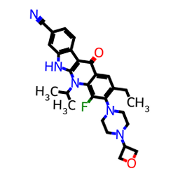 CCc1cc2c(=O)c3c4ccc(C#N)cc4[nH]c3n(C(C)C)c2c(F)c1N1CCN(C2COC2)CC1